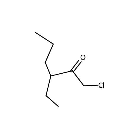 CCCC(CC)C(=O)CCl